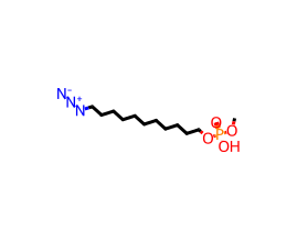 COP(=O)(O)OCCCCCCCCCCCN=[N+]=[N-]